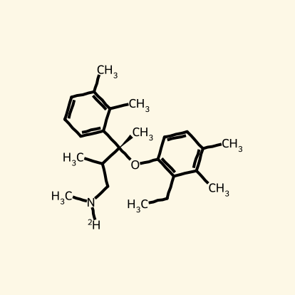 [2H]N(C)CC(C)[C@@](C)(Oc1ccc(C)c(C)c1CC)c1cccc(C)c1C